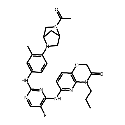 CCCN1C(=O)COc2ccc(Nc3nc(Nc4ccc(N5CC6CC5CN6C(C)=O)c(C)c4)ncc3F)nc21